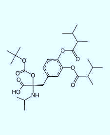 CC(C)N[C@@](Cc1ccc(OC(=O)C(C)C(C)C)c(OC(=O)C(C)C(C)C)c1)(OC(=O)OC(C)(C)C)C(=O)O